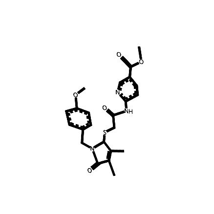 COC(=O)c1ccc(NC(=O)CSC2C(C)=C(C)C(=O)N2Cc2ccc(OC)cc2)nc1